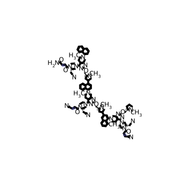 Cc1cccc2cc(C3C[C@@H](COc4nc5c(c(N6CCN(C(=O)/C=C/C#N)[C@@H](CC#N)C6)n4)CCN(c4ccc(C6C[C@@H](COc7nc8c(c(N9CCN(C(=O)/C=C/C(N)=O)[C@@H](CC#N)C9)n7)CCN(c7cccc9cccc(C)c79)C8)N(C)C6)c6cccc(C)c46)C5)N(C)C3)cc(N3CCc4c(nc(OC[C@@H]5CCCN5C)nc4N4CCN(C(=O)/C=C\C#N)[C@@H](CC#N)C4)C3)c12